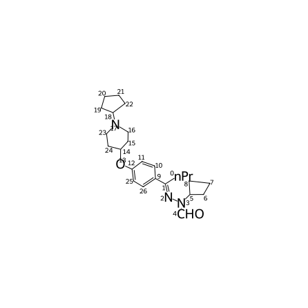 CCC/C(=N\N(C=O)C1CCC1)c1ccc(OC2CCN(C3CCCC3)CC2)cc1